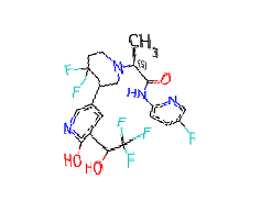 C[C@@H](C(=O)Nc1ccc(F)cn1)N1CCC(F)(F)C(c2cnc(O)c(C(O)C(F)(F)F)c2)C1